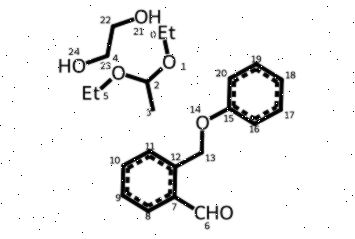 CCOC(C)OCC.O=Cc1ccccc1COc1ccccc1.OCCO